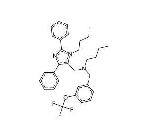 CCCCN(Cc1cccc(OC(F)(F)F)c1)Cc1c(-c2ccccc2)nc(-c2ccccc2)n1CCCC